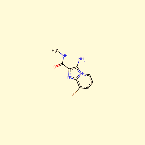 CNC(=O)c1nc2c(Br)cccn2c1N